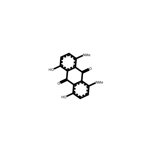 CNc1ccc(O)c2c1C(=O)c1c(NC)ccc(O)c1C2=O